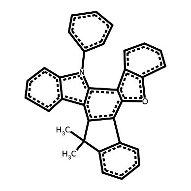 CC1(C)c2ccccc2-c2c1c1c3ccccc3n(-c3ccccc3)c1c1c2oc2ccccc21